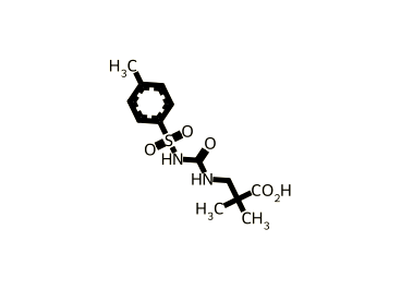 Cc1ccc(S(=O)(=O)NC(=O)NCC(C)(C)C(=O)O)cc1